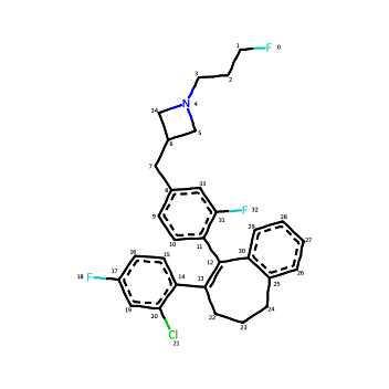 FCCCN1CC(Cc2ccc(C3=C(c4ccc(F)cc4Cl)CCCc4ccccc43)c(F)c2)C1